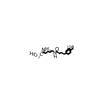 N[C@@H](CCCCNC(=O)CCCc1ccc([124I])cc1)C(=O)O